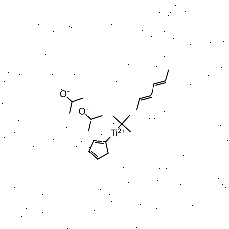 CC(C)[O-].CC(C)[O-].CC=CC=CC.C[C](C)(C)[Ti+2][C]1=CC=CC1